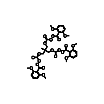 COc1cccc(OC)c1C(=O)OOC(=O)OCC(C)(COC(=O)OOC(=O)c1c(OC)cccc1OC)COC(=O)OOC(=O)c1c(OC)cccc1OC